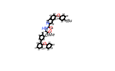 COC(=O)[C@H](Cc1ccc(-c2ccccc2Oc2ccccc2)cc1)NC(=O)c1cc2cc(Oc3ccc(C(C)(C)C)cc3)ccc2cn1